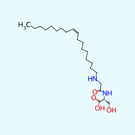 CCCCCCCC/C=C\CCCCCCCCNCC(=O)N[C@@H](CO)C(=O)O